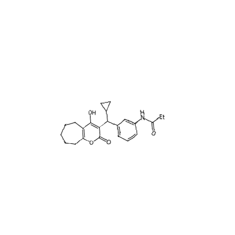 [CH2]CC(=O)Nc1cccc(C(c2c(O)c3c(oc2=O)CCCCC3)C2CC2)c1